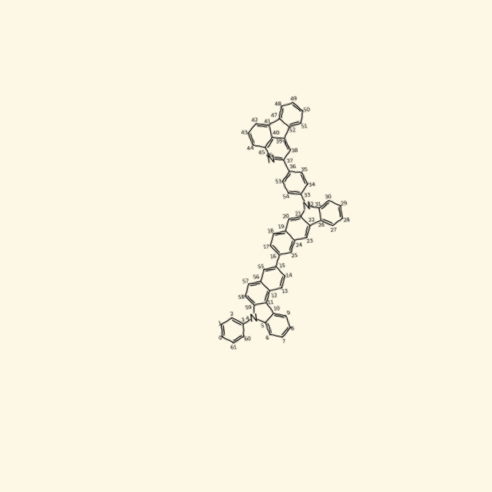 c1ccc(-n2c3ccccc3c3c4ccc(-c5ccc6cc7c(cc6c5)c5ccccc5n7-c5ccc(-c6cc7c8c(cccc8n6)-c6ccccc6-7)cc5)cc4ccc32)cc1